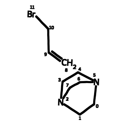 C1CN2CCN1CC2.C=CCBr